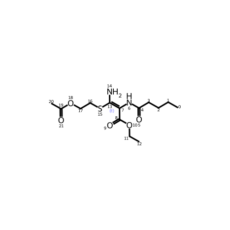 CCCCC(=O)N/C(C(=O)OCC)=C(\N)SCCOC(C)=O